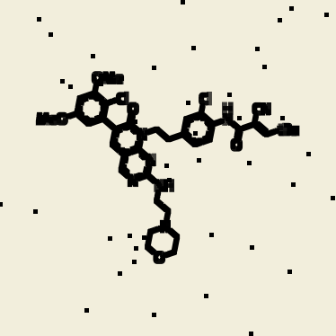 COc1cc(OC)c(Cl)c(-c2cc3cnc(NCCN4CCOCC4)nc3n(CCc3ccc(NC(=O)/C(C#N)=C/C(C)(C)C)c(Cl)c3)c2=O)c1